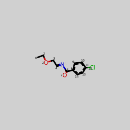 CCOCC=NC(=O)c1ccc(Cl)cc1